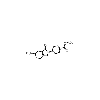 CC(C)(C)OC(=O)N1CCC(N2CC3=C(CC(N)CC3)C2=O)CC1